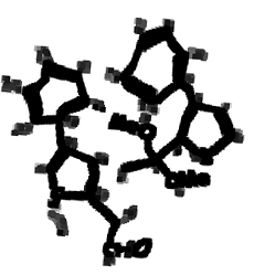 COC(C)(OC)c1sccc1-c1ccccc1.O=CCc1cc(-c2ccccc2)cs1